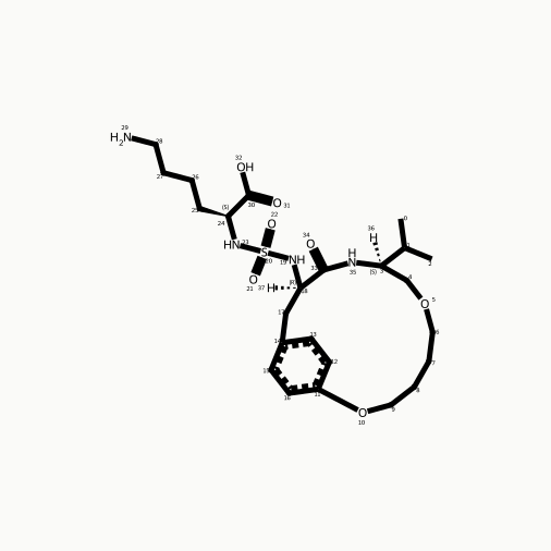 CC(C)[C@H]1COCCCCOc2ccc(cc2)C[C@@H](NS(=O)(=O)N[C@@H](CCCCN)C(=O)O)C(=O)N1